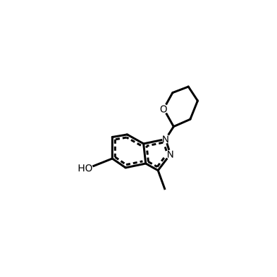 Cc1nn(C2CCCCO2)c2ccc(O)cc12